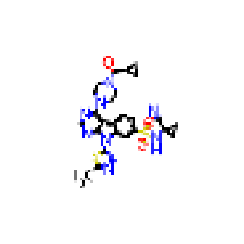 Cc1nnc(-n2c3cc(S(=O)(=O)NC4(C#N)CC4)ccc3c3c(N4CCN(C(=O)C5CC5)CC4)ncnc32)s1